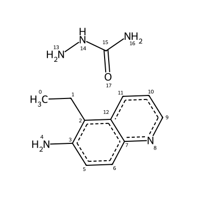 CCc1c(N)ccc2ncccc12.NNC(N)=O